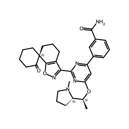 C[C@H](Oc1cc(-c2cccc(C(N)=O)c2)nc(-c2noc3c2CCC[C@@]32CCCCC2=O)n1)[C@@H]1CCCN1C